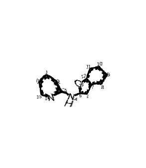 c1ccc(Nc2cc3ccccc3o2)nc1